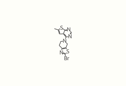 Cc1cc2c(N3CCc4nc(Br)sc4C3)ncnc2s1